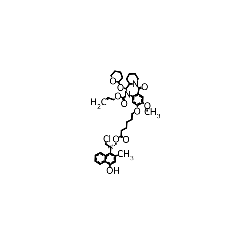 C=CCOC(=O)N1c2cc(OCCCCCC(=O)OC[C@@H](CCl)c3c(C)cc(O)c4ccccc34)c(OC)cc2C(=O)N2CCCCC2C1OC1CCCCO1